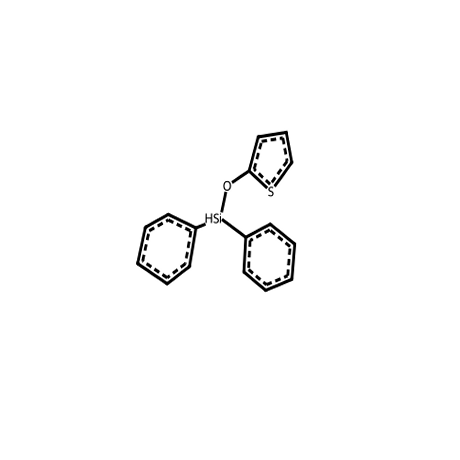 c1ccc([SiH](Oc2cccs2)c2ccccc2)cc1